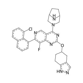 Fc1c(-c2cccc3cccc(Cl)c23)ncc2c(N3CC4CCC(C3)N4)nc(OC3CCc4[nH]ncc4C3)nc12